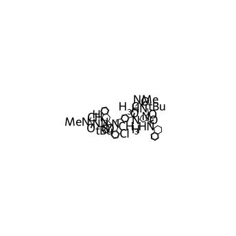 CN[C@@H](C)C(=O)NC(C(=O)N1C[C@@H](NC(=O)c2ccc(CN(C(=O)C3Cc4ccccc4CN3C(=O)C(NC(=O)[C@H](C)NC)C(C)(C)C)C(C)c3ccccc3Cl)cc2)CC1C(=O)NC1CCCc2ccccc21)C(C)(C)C